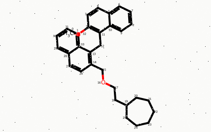 COc1ccc2ccccc2c1Cc1c(COCCC2CCCCCC2)ccc2ccccc12